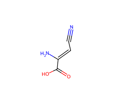 N#C/C=C(\N)C(=O)O